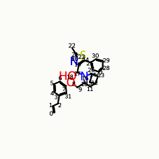 C=CCc1cccc(OCC2CC3CC(C3)N2C(O)c2nc(C)sc2-c2ccccc2)c1